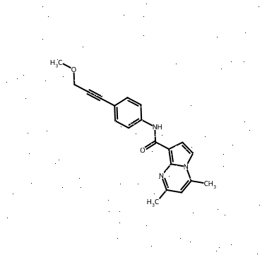 COCC#Cc1ccc(NC(=O)c2ccn3c(C)cc(C)nc23)cc1